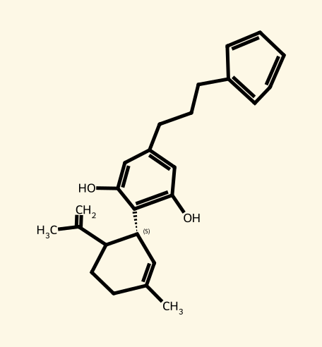 C=C(C)C1CCC(C)=C[C@H]1c1c(O)cc(CCCc2ccccc2)cc1O